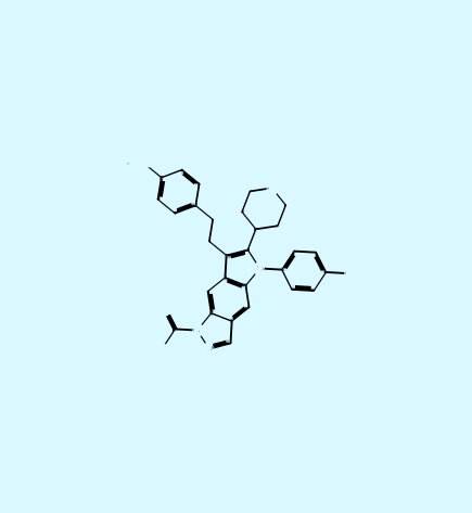 CC(C)(C)C(=O)n1ncc2cc3c(cc21)c(CCc1ccc(C(=O)O)cc1)c(C1CCOCC1)n3-c1ccc(F)cc1